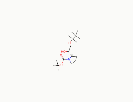 CC(C)(C)OC(=O)N1CCC[C@H]1C(O)CO[Si](C)(C)C(C)(C)C